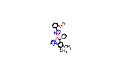 CCOc1ccccc1-c1noc([C@@H]2CCCN2C(=O)c2cc(C)c(C)cc2-n2nccn2)n1